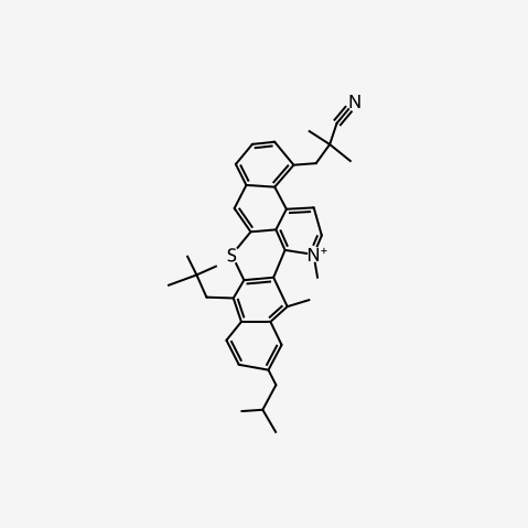 Cc1c2c(c(CC(C)(C)C)c3ccc(CC(C)C)cc13)Sc1cc3cccc(CC(C)(C)C#N)c3c3cc[n+](C)c-2c13